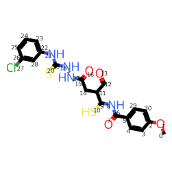 COc1ccc(C(=O)NC(S)C(C=O)CC(=O)NNC(=S)Nc2cccc(Cl)c2)cc1